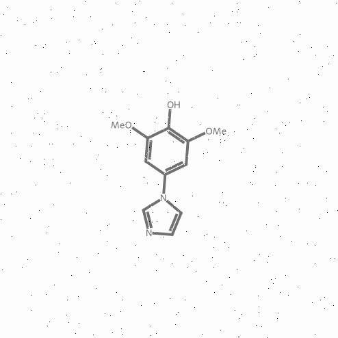 COc1cc(-n2ccnc2)cc(OC)c1O